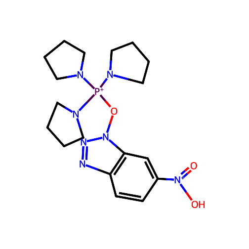 O=[N+](O)c1ccc2nnn(O[P+](N3CCCC3)(N3CCCC3)N3CCCC3)c2c1